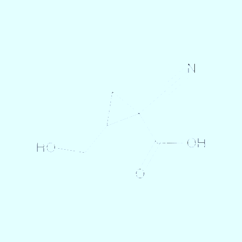 N#CC1(C(=O)O)CC1CO